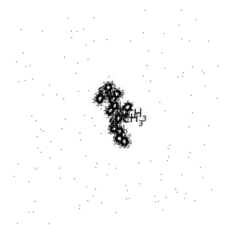 CC1(C)c2ccccc2N(c2cc3c4ccccc4c(N4c5ccccc5Sc5ccccc54)cc3c3ccccc23)c2cc3sc4ccc5c6ccc7ccccc7c6ccc5c4c3cc21